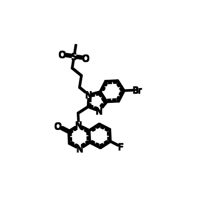 CS(=O)(=O)CCCn1c(Cn2c(=O)cnc3cc(F)ccc32)nc2cc(Br)ccc21